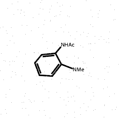 CNc1ccccc1NC(C)=O